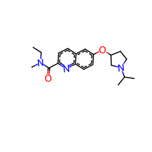 CCN(C)C(=O)c1ccc2cc(OC3CCN(C(C)C)C3)ccc2n1